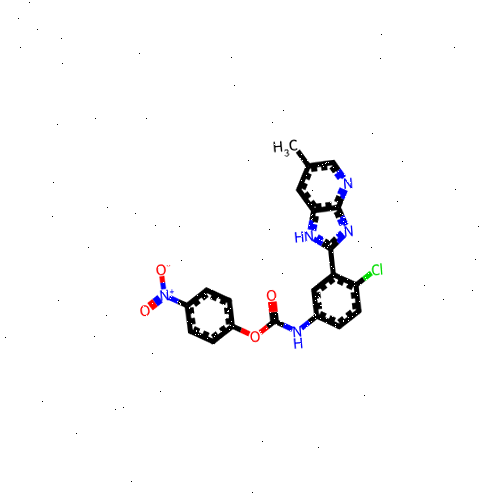 Cc1cnc2nc(-c3cc(NC(=O)Oc4ccc([N+](=O)[O-])cc4)ccc3Cl)[nH]c2c1